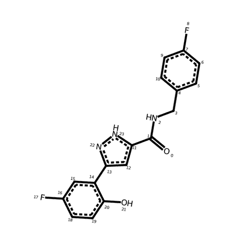 O=C(NCc1ccc(F)cc1)c1cc(-c2cc(F)ccc2O)n[nH]1